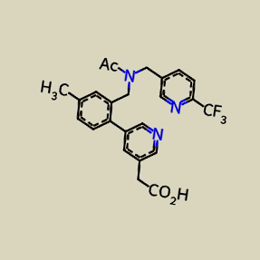 CC(=O)N(Cc1ccc(C(F)(F)F)nc1)Cc1cc(C)ccc1-c1cncc(CC(=O)O)c1